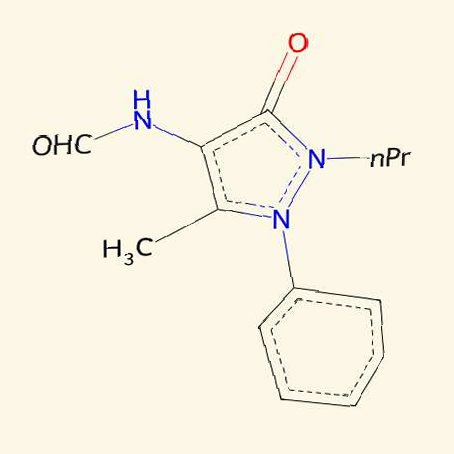 CCCn1c(=O)c(NC=O)c(C)n1-c1ccccc1